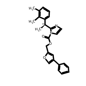 Cc1cccc([C@H](C)c2nccn2C(=O)OCc2cc(-c3ccccc3)co2)c1C